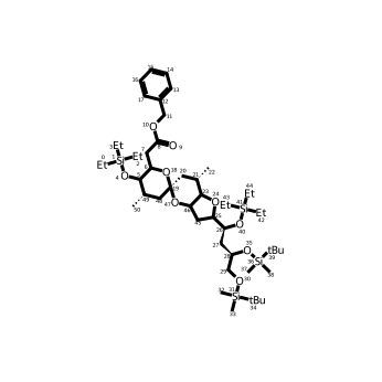 CC[Si](CC)(CC)OC1C(CC(=O)OCc2ccccc2)O[C@]2(C[C@H](C)C3OC([C@H](C[C@H](CO[Si](C)(C)C(C)(C)C)O[Si](C)(C)C(C)(C)C)O[Si](CC)(CC)CC)CC3O2)C[C@@H]1C